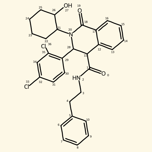 O=C(NCCc1ccccc1)C1c2ccccc2C(=O)N(C2CCCCC2O)C1c1ccc(Cl)cc1Cl